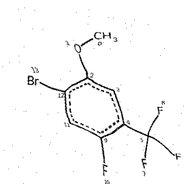 COc1cc(C(F)(F)F)c(F)cc1Br